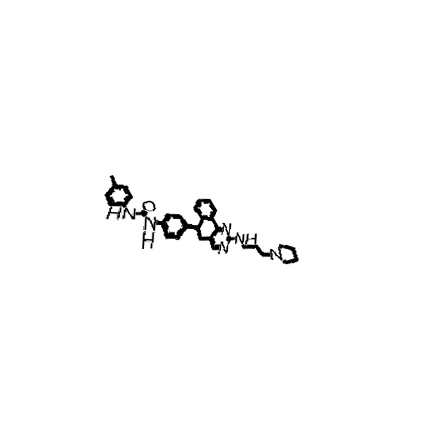 Cc1ccc(NC(=O)Nc2ccc(C3Cc4cnc(NCCCN5CCCC5)nc4-c4ccccc43)cc2)cc1